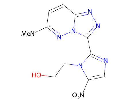 CNc1ccc2nnc(-c3ncc([N+](=O)[O-])n3CCO)n2n1